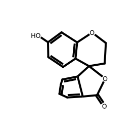 O=C1OC2(CCOc3cc(O)ccc32)c2ccccc21